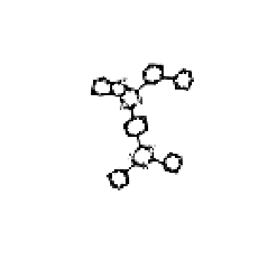 c1ccc(-c2cccc(-c3nc(-c4ccc(-c5nc(-c6ccccc6)nc(-c6ccccc6)n5)cc4)nc4c3sc3ccccc34)c2)cc1